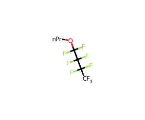 [CH2]CCOC(F)(F)C(F)(F)C(F)(F)C(F)(F)F